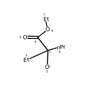 CCCC([O])(CC)C(=O)OCC